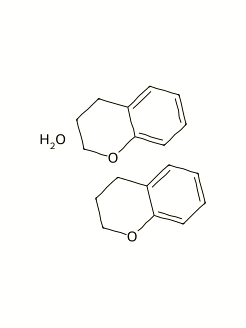 O.c1ccc2c(c1)CCCO2.c1ccc2c(c1)CCCO2